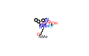 CNC(=O)CCCCC[C@H](NC(=O)Cn1c(=O)ncc2ccccc21)c1ncc(-c2ccc3ccccc3c2)[nH]1.O=C(O)C(F)(F)F